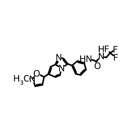 CN1C=CC(c2ccn3c(-c4cccc(NC(=O)NCC(F)(F)F)c4)cnc3c2)O1